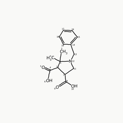 CC1(C)C(C(=O)O)C(C(=O)O)CN1Cc1ccccc1